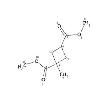 COC(=O)C1CC(C)(C(=O)OC)C1